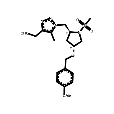 COc1ccc(CS[C@@H]2C[C@@H](Cn3nnc(CC=O)c3C)N(S(C)(=O)=O)C2)cc1